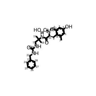 Cc1cc(O)cc(C)c1C[C@@H](C(=O)NC(C)(C)CNC(=O)NCc1ccccc1)N(C(=O)O)C(C)(C)C